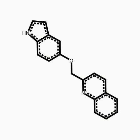 c1ccc2nc(COc3ccc4[nH]ccc4c3)ccc2c1